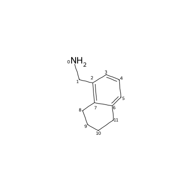 NCc1cccc2c1CCCC2